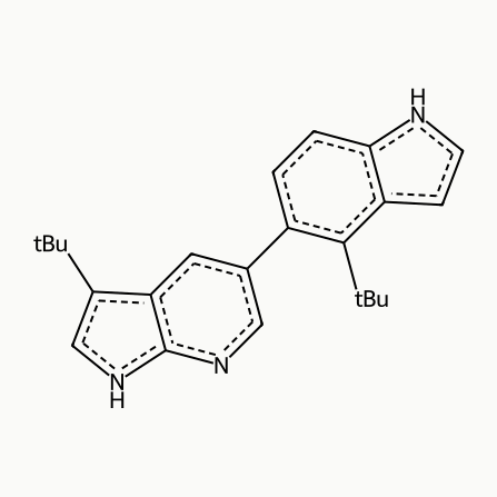 CC(C)(C)c1c(-c2cnc3[nH]cc(C(C)(C)C)c3c2)ccc2[nH]ccc12